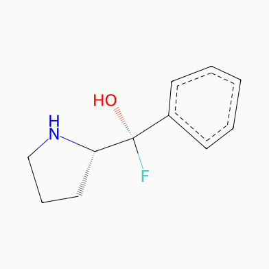 O[C@@](F)(c1ccccc1)[C@@H]1CCCN1